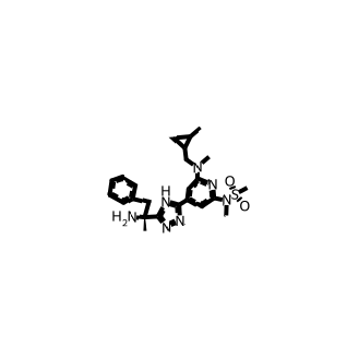 CC1CC1CN(C)c1cc(-c2nnc([C@](C)(N)Cc3ccccc3)[nH]2)cc(N(C)S(C)(=O)=O)n1